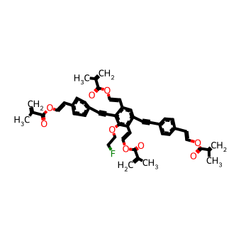 C=C(C)C(=O)O/C=C/c1ccc(C#Cc2cc(/C=C/OC(=O)C(=C)C)c(C#Cc3ccc(/C=C/OC(=O)C(=C)C)cc3)c(OCCF)c2/C=C/OC(=O)C(=C)C)cc1